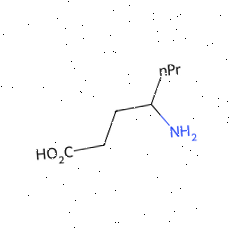 CCCC(N)CCC(=O)O